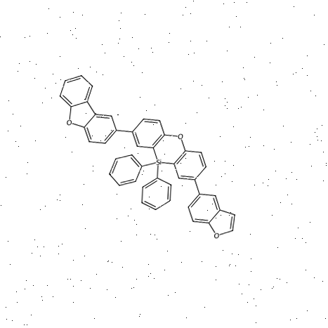 c1ccc([Si]2(c3ccccc3)c3cc(-c4ccc5occc5c4)ccc3Oc3ccc(-c4ccc5oc6ccccc6c5c4)cc32)cc1